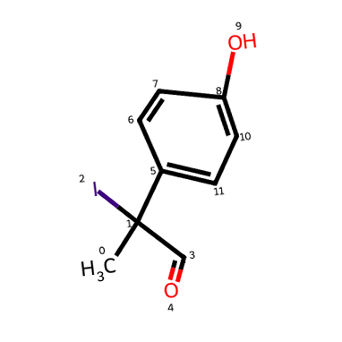 CC(I)([C]=O)c1ccc(O)cc1